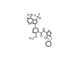 COc1ncc(-c2cc(C(F)(F)F)c3c(N)ncnn23)cc1C(=O)Nc1ncn(Cc2ccccc2)c1C